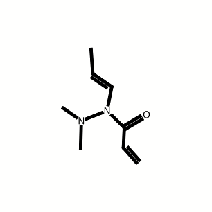 C=CC(=O)N(C=CC)N(C)C